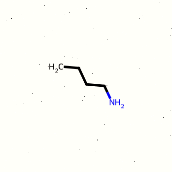 [CH2]CC[CH]N